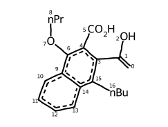 C=C(O)c1c(C(=O)O)c(OCCC)c2ccccc2c1CCCC